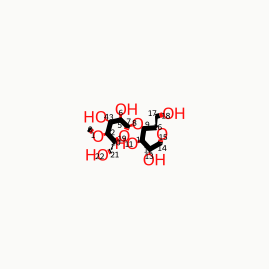 CO[C@H]1[C@H](O)[C@@H](O)[C@@H](O[C@H]2[C@H](O)[C@@H](O)CO[C@@H]2CO)O[C@@H]1CO